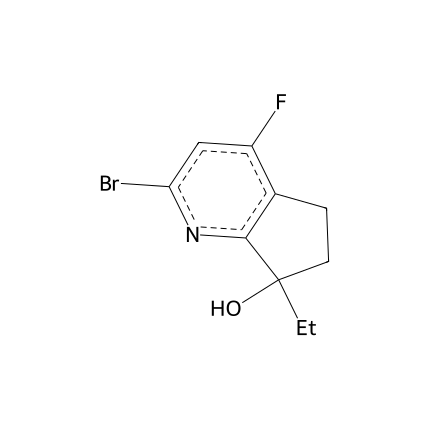 CCC1(O)CCc2c(F)cc(Br)nc21